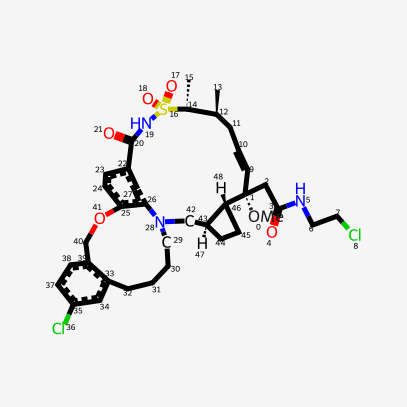 CO[C@@]1(CC(=O)NCCCl)/C=C/C[C@H](C)[C@@H](C)S(=O)(=O)NC(=O)c2ccc3c(c2)N(CCCCc2cc(Cl)ccc2CO3)C[C@@H]2CC[C@H]21